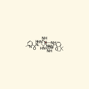 Cc1cccc(C(=O)NC[C@@H]2NC(=N)N3CC(NC(=O)c4cccc5c4OCCC5(C)C)[C@@H](O)C34NC(=N)NC24)n1